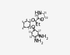 CCC(Oc1ccccc1Oc1ccc(N)c(N)c1)C1CNCCO1